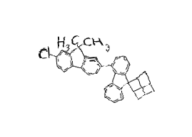 CC1(C)c2cc(Cl)ccc2-c2ccc(-c3cccc4c3-c3ccccc3C43C4CC5CC6CC3C564)cc21